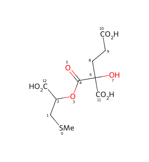 CSCC(OC(=O)C(O)(CCC(=O)O)C(=O)O)C(=O)O